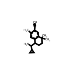 C#Cc1cc2c(cc1C)C(C(N)C1CC1)CCC2(C)C